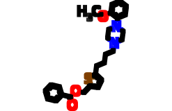 COc1ccccc1N1CCN(CCCCc2ccc(COC(=O)c3ccccc3)s2)CC1